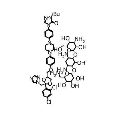 CCC(C)n1ncn(-c2ccc(N3CCN(c4ccc(OC[C@H]5CO[C@](Cn6cncn6)(c6ccc(Cl)cc6Cl)O5)cc4)CC3)cc2)c1=O.NC[C@H]1O[C@H](O[C@H]2[C@H](O)[C@@H](O[C@H]3O[C@H](CO)[C@@H](O)[C@H](N)[C@H]3O)[C@H](N)C[C@@H]2N)[C@H](O)[C@@H](O)[C@@H]1O